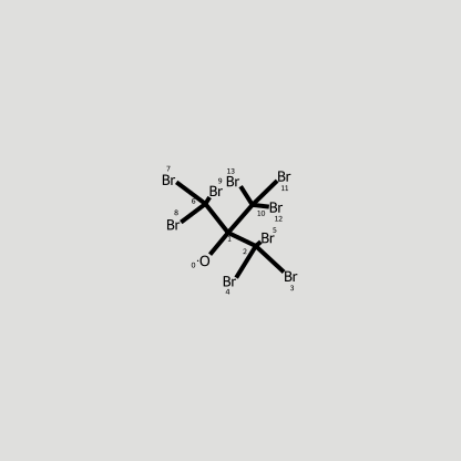 [O]C(C(Br)(Br)Br)(C(Br)(Br)Br)C(Br)(Br)Br